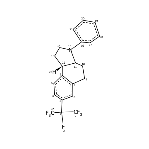 FC(F)(F)C(F)(c1ccc2c(c1)CCC1[C@H]2CCN1c1ccccc1)C(F)(F)F